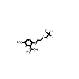 Cc1ccc(OCCOCC(F)(F)F)c(B(O)O)c1